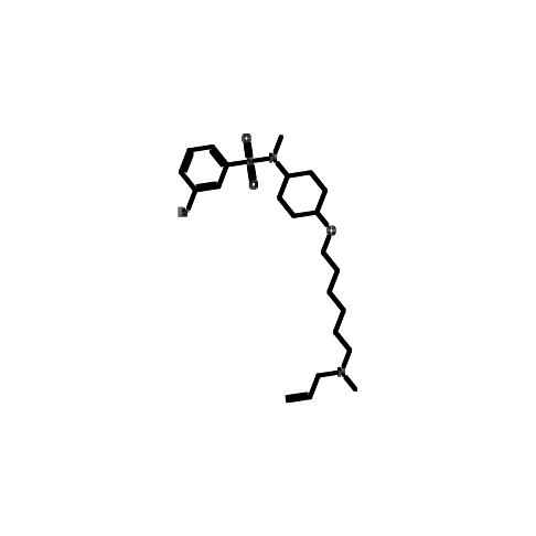 C=CCN(C)CCCCCCOC1CCC(N(C)S(=O)(=O)c2cccc(Br)c2)CC1